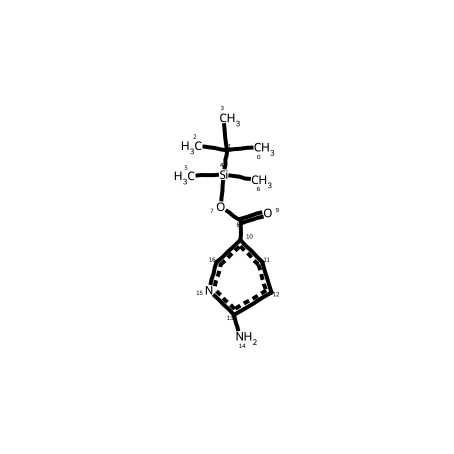 CC(C)(C)[Si](C)(C)OC(=O)c1ccc(N)nc1